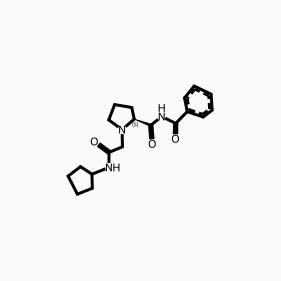 O=C(CN1CCC[C@H]1C(=O)NC(=O)c1ccccc1)NC1CCCC1